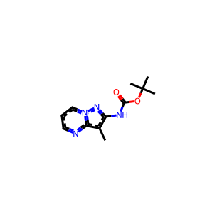 Cc1c(NC(=O)OC(C)(C)C)nn2cccnc12